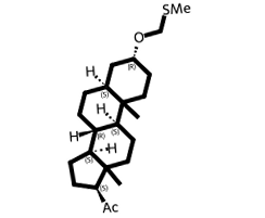 CSCO[C@@H]1CCC2(C)[C@@H](CC[C@@H]3[C@@H]2CCC2(C)[C@@H](C(C)=O)CC[C@@H]32)C1